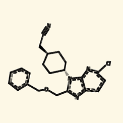 N#CC[C@H]1CC[C@H](n2c(COCc3ccccc3)nc3ccc(Cl)nc32)CC1